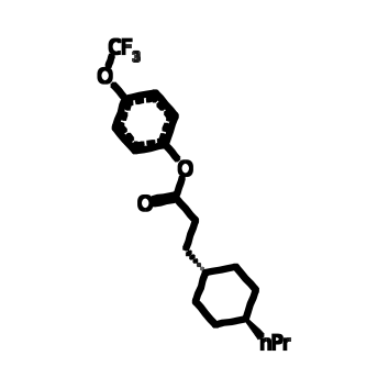 CCC[C@H]1CC[C@H](CCC(=O)Oc2ccc(OC(F)(F)F)cc2)CC1